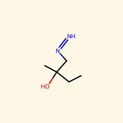 CCC(C)(O)CN=N